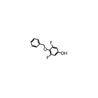 Oc1cc(F)c(OCc2ccccc2)c(F)c1